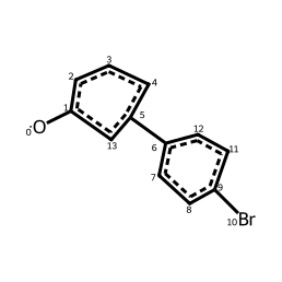 [O]c1cccc(-c2ccc(Br)cc2)c1